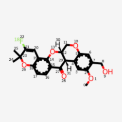 COc1cc2c(cc1CO)OC[C@H]1Oc3c(ccc4c3C=C([18F])C(C)(C)O4)C(=O)[C@@H]21